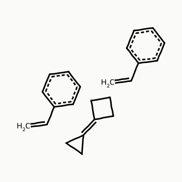 C1CC(=C2CC2)C1.C=Cc1ccccc1.C=Cc1ccccc1